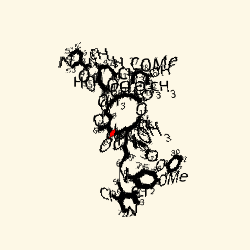 COc1ccc(N(CCCN2C(=O)O[C@]3(C)[C@@H](I)OC(=O)[C@H](C)[C@@H](O[C@H]4C[C@@](C)(OC)[C@@H](O)[C@H](C)O4)[C@H](C)[C@@H](O[C@@H]4O[C@H](C)C[C@H](N(C)C(=O)c5cccnc5)[C@H]4O)[C@@]4(C)C[C@@H](CO4)C(=O)[C@H](C)[C@@H]23)Cc2c(Cl)cncc2Cl)cc1OC1CCCC1